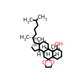 CC(C)CCC[C@@H](C)[C@H]1CC[C@H]2[C@@H]3CC4(OCCO4)[C@H]4CCC[C@H](O)[C@]4(C)[C@H]3CC[C@]12C